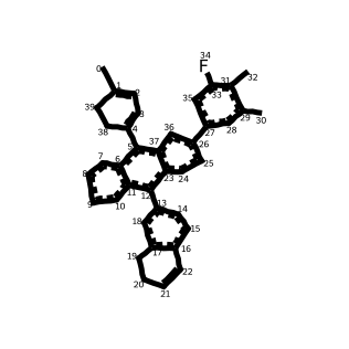 CC1=CC=C(c2c3ccccc3c(-c3ccc4c(c3)CCC=C4)c3ccc(-c4cc(C)c(C)c(F)c4)cc23)CC1